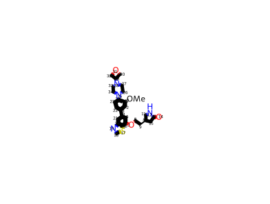 COc1cc(-c2cc(OCC[C@H]3CNC(=O)C3)c3scnc3c2)ccc1N1CCN(C2COC2)CC1